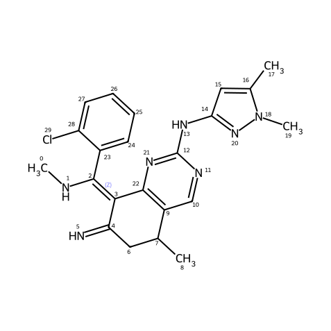 CN/C(=C1\C(=N)CC(C)c2cnc(Nc3cc(C)n(C)n3)nc21)c1ccccc1Cl